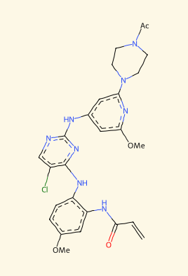 C=CC(=O)Nc1cc(OC)ccc1Nc1nc(Nc2cc(OC)nc(N3CCN(C(C)=O)CC3)c2)ncc1Cl